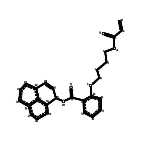 C=CC(=O)OCCCCOc1ccccc1C(=O)OC1C=Cc2cccc3cccc1c23